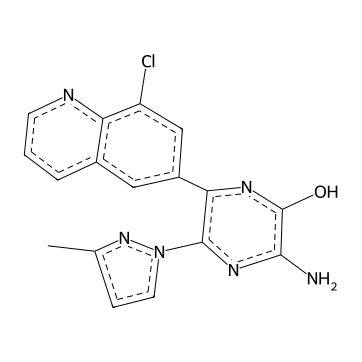 Cc1ccn(-c2nc(N)c(O)nc2-c2cc(Cl)c3ncccc3c2)n1